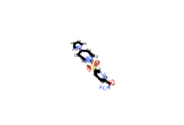 NC(=O)c1ccc(S(=O)(=O)N2CCC(N3CCCC3)CC2)cn1